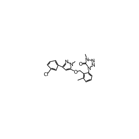 Cc1cccc(-n2nnn(C)c2=O)c1COc1cc(-c2cccc(Cl)c2)nn1C